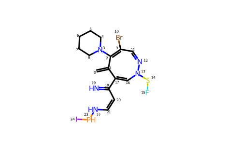 C=C1/C(N2CCCCC2)=C(Br)\C=N/N(SF)/C=C\1C(=N)/C=C\NPI